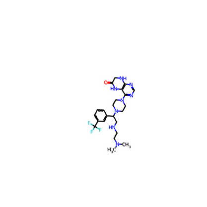 CN(C)CCNCC(c1cccc(C(F)(F)F)c1)N1CCN(c2ncnc3c2NC(=O)CN3)CC1